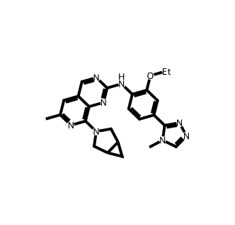 CCOc1cc(-c2nncn2C)ccc1Nc1ncc2cc(C)nc(N3CC4CC4C3)c2n1